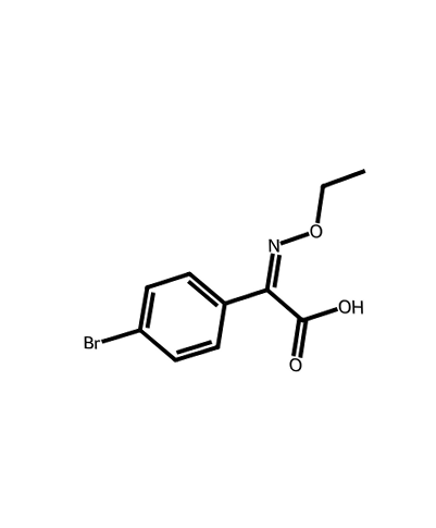 CCON=C(C(=O)O)c1ccc(Br)cc1